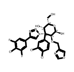 OC[C@@H]1O[C@@H](S)[C@@H](OCc2cocn2)[C@](c2ccc(Cl)c(Cl)c2)(n2cc(-c3cc(F)c(Cl)c(F)c3)nn2)[C@@H]1O